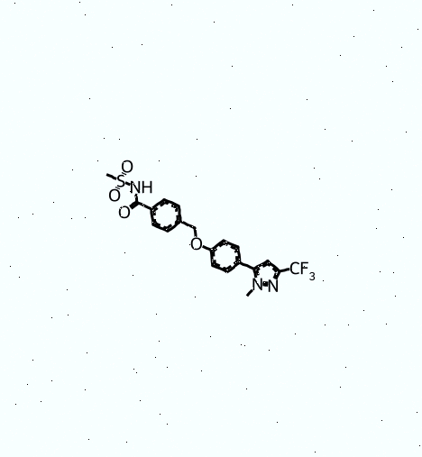 Cn1nc(C(F)(F)F)cc1-c1ccc(OCc2ccc(C(=O)NS(C)(=O)=O)cc2)cc1